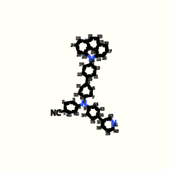 N#Cc1ccc(N(c2ccc(-c3ccc(-n4c5cccc6ccc7cccc4c7c65)cc3)cc2)c2ccc(-c3cccnc3)cc2)cc1